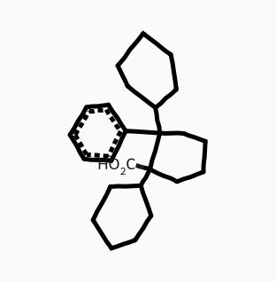 O=C(O)C1(C2CCCCC2)CCCCC1(c1ccccc1)C1CCCCC1